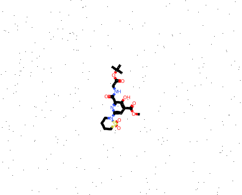 COC(=O)c1cc(N2CCCCS2(=O)=O)nc(C(=O)NCC(=O)OC(C)(C)C)c1O